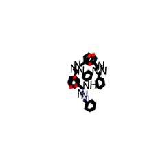 C(=N\N=C(/Nc1cc(-n2c(-c3ccccc3)nnc2-c2ccccc2)cc(-n2c(-c3ccccc3)nnc2-c2ccccc2)c1)c1ccccc1)/c1ccccc1